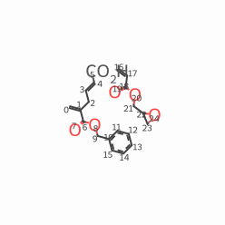 C=C(CC=CC(=O)O)C(=O)OCc1ccccc1.C=CC(=O)OCC1CO1